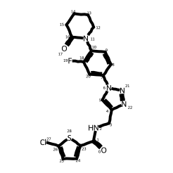 O=C(NCc1cn(-c2ccc(N3CCCCC3=O)c(F)c2)nn1)c1ccc(Cl)s1